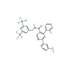 COc1cccc(-c2cc(-c3ccccc3C)c(C(=O)N(C)Cc3cc(C(F)(F)F)cc(C(F)(F)F)c3)cn2)c1